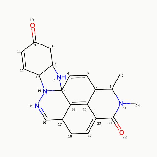 CC1C2C=CC34NC5CC(=O)C=CC5N3N=CC3CC=C(C(=O)N1C)C2=C34